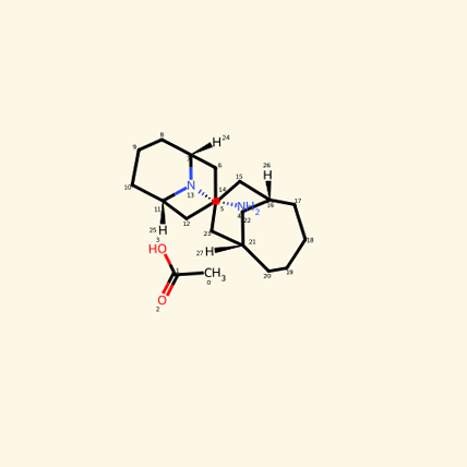 CC(=O)O.N[C@H]1C[C@H]2CCC[C@@H](C1)N2[C@@H]1C[C@@H]2CCCC[C@@H](C2)C1